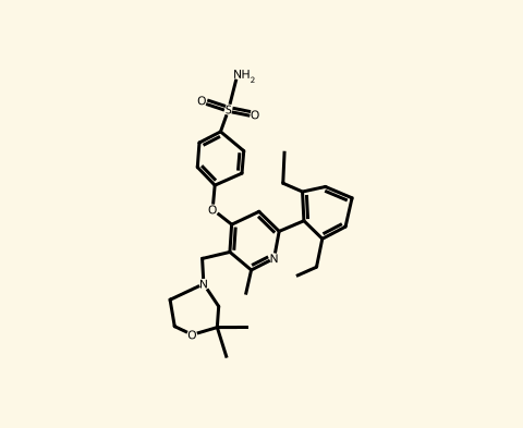 CCc1cccc(CC)c1-c1cc(Oc2ccc(S(N)(=O)=O)cc2)c(CN2CCOC(C)(C)C2)c(C)n1